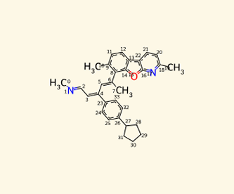 C/N=C/C=C(\C=C(/C)c1c(C)ccc2c1oc1nc(C)ccc12)c1ccc(C2CCCC2)cc1